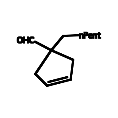 CCCCCCC1(C=O)CC=CC1